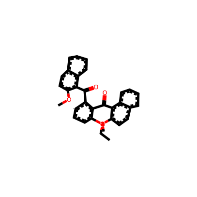 CCOc1cc[c]c(C(=O)c2c(OC)ccc3ccccc23)c1C(=O)c1c(OC)ccc2ccccc12